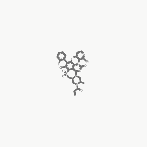 C=CC(=O)N1CC2CS(=O)(=O)c3c(Cl)c(-c4ccccc4F)c(F)c4c3c(nc(=O)n4-c3c(C)ccnc3C(C)C)N2CC1C